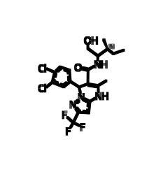 CC[C@H](C)C(CO)NC(=O)C1=C(C)Nc2cc(C(F)(F)F)nn2C1c1ccc(Cl)c(Cl)c1